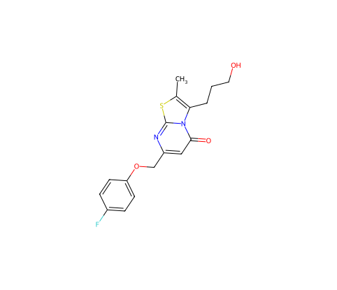 Cc1sc2nc(COc3ccc(F)cc3)cc(=O)n2c1CCCO